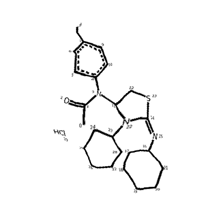 CC(=O)N(c1ccc(C)cc1)C1CSC(=NC2CCCCC2)N1C1CCCCC1.Cl